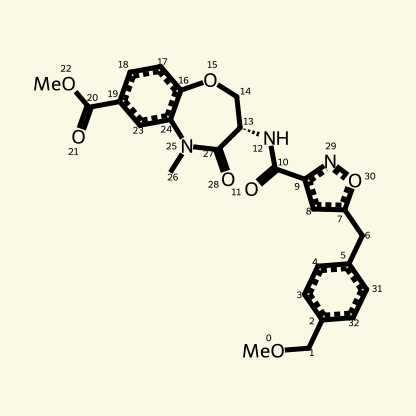 COCc1ccc(Cc2cc(C(=O)N[C@H]3COc4ccc(C(=O)OC)cc4N(C)C3=O)no2)cc1